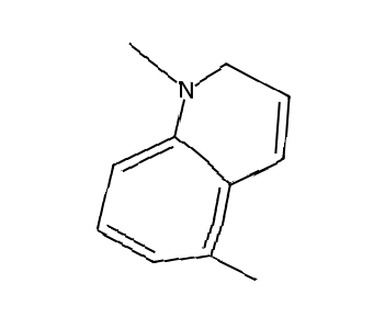 Cc1cccc2c1C=CCN2C